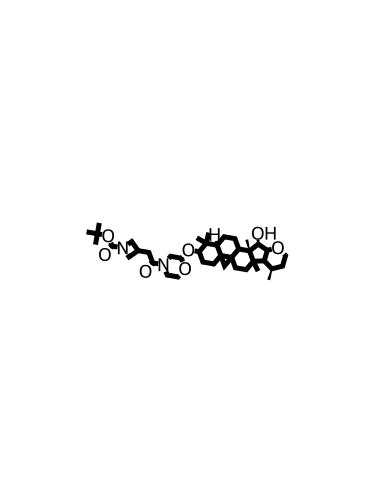 C[C@@H]1CCOC2C1C1(C)CCC34CC35CCC(OC3CN(C(=O)CC6CN(C(=O)OC(C)(C)C)C6)CCO3)C(C)(C)[C@@H]5CCC4[C@]1(C)[C@H]2O